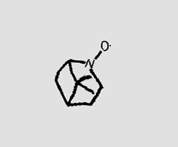 CC1(C)C2CCN([O])C1C2